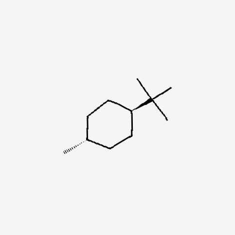 CC(C)(C)[C@H]1CC[C@H](C)CC1